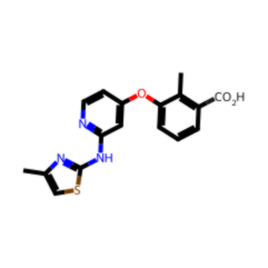 Cc1csc(Nc2cc(Oc3cccc(C(=O)O)c3C)ccn2)n1